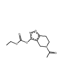 CCOC(=O)Oc1noc2c1CN(C(C)=O)CC2